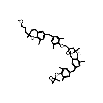 COCCCC1(C)CCc2cc(Cc3cc(C)c(OCC(O)CC(C)(C)Oc4c(C)cc(Cc5cc(C)c(OC6(C)CO6)c(C)c5)cc4C)c(C)c3)cc(C)c2O1